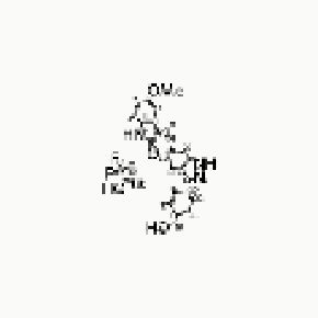 COc1ccc2c(c1)[C@]1(C[C@H]1c1ccc3c(-c4ccc(CO)cc4)n[nH]c3c1)C(=O)N2.O=C(O)C(F)(F)F